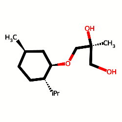 CC(C)[C@@H]1CC[C@@H](C)C[C@H]1OC[C@@](C)(O)CO